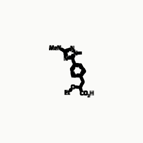 CCOC(Cc1ccc(-c2nc(NC)nn2C)cc1)C(=O)O